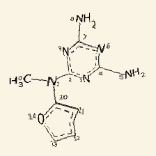 CN(c1nc(N)nc(N)n1)c1ccco1